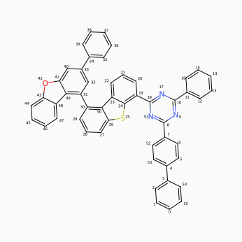 c1ccc(-c2ccc(-c3nc(-c4ccccc4)nc(-c4cccc5c4sc4cccc(-c6cc(-c7ccccc7)cc7oc8ccccc8c67)c45)n3)cc2)cc1